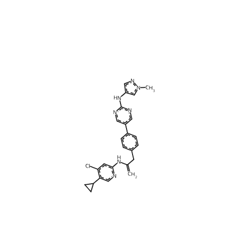 C=C(Cc1ccc(-c2cnc(Nc3cnn(C)c3)nc2)cc1)Nc1cc(Cl)c(C2CC2)cn1